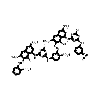 O=[SH](=O)c1cccc(Nc2nc(Cl)nc(Nc3cc(S(=O)(=O)O)cc4cc(S(=O)(=O)O)c(/N=N/c5cc(Nc6nc(Cl)nc(Nc7cc(S(=O)(=O)O)cc8cc(S(=O)(=O)O)c(/N=N/c9ccccc9S(=O)(=O)O)c(O)c78)n6)ccc5S(=O)(=O)O)c(O)c34)n2)c1